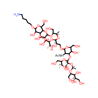 CC(=O)NC1C(OC[C@H](O)C(OC(CO)[C@@H](C)O)O[C@H](C)C(CO)OC(OC2C(CO)OC(OCCCCCN)C(O)C2O)[C@@H](O)CO)OC(CO)C(O)C1OC(OC(CO)[C@@H](C)O)[C@H](CO)O[C@@H](C)OC(CO)C(O)[C@H](O)CO